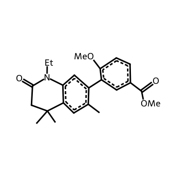 CCN1C(=O)CC(C)(C)c2cc(C)c(-c3cc(C(=O)OC)ccc3OC)cc21